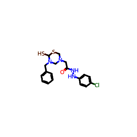 O=C(CN1CSC(S)N(Cc2ccccc2)C1)NNc1ccc(Cl)cc1